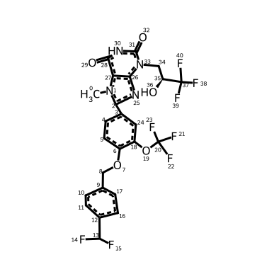 Cn1c(-c2ccc(OCc3ccc(C(F)F)cc3)c(OC(F)(F)F)c2)nc2c1c(=O)[nH]c(=O)n2C[C@H](O)C(F)(F)F